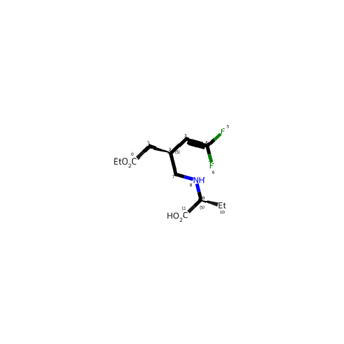 CCOC(=O)C[C@@H](C=C(F)F)CN[C@@H](CC)C(=O)O